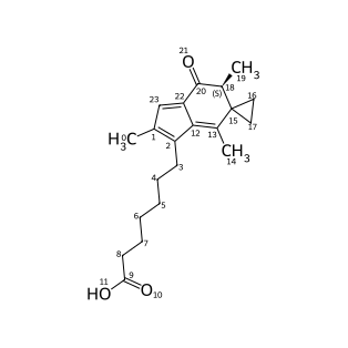 CC1=C(CCCCCCC(=O)O)C2=C(C)C3(CC3)[C@H](C)C(=O)C2=C1